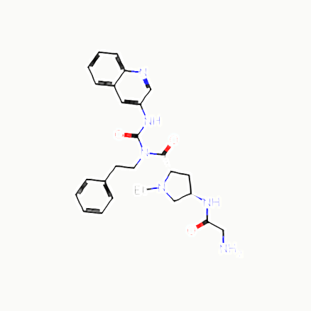 CCN1C[C@H](NC(=O)CN)C[C@H]1C(=O)N(CCc1ccccc1)C(=O)Nc1cnc2ccccc2c1